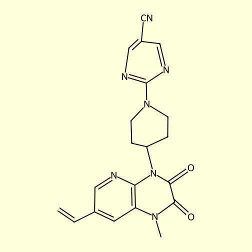 C=Cc1cnc2c(c1)n(C)c(=O)c(=O)n2C1CCN(c2ncc(C#N)cn2)CC1